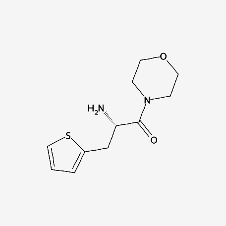 N[C@@H](Cc1cccs1)C(=O)N1CCOCC1